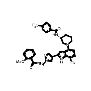 COc1ccccc1C(N)=O.Cn1cc(-c2cc3c(N4CCC[C@@H](NC(=O)c5ccc(C(F)(F)F)cc5)C4)ccc(C#N)c3[nH]2)cn1